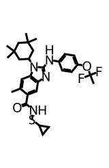 Cc1cc2c(cc1C(=O)NSC1CC1)nc(Nc1ccc(OC(C)(F)F)cc1)n2C1CC(C)(C)CC(C)(C)C1